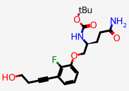 CC(C)(C)OC(=O)N[C@@H](CCC(N)=O)COc1cccc(C#CCCO)c1F